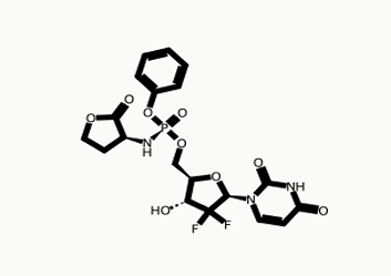 O=C1OCC[C@@H]1N[P@@](=O)(OC[C@H]1O[C@@H](n2ccc(=O)[nH]c2=O)C(F)(F)[C@@H]1O)Oc1ccccc1